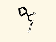 O=C=NCC(Br)c1ccccc1